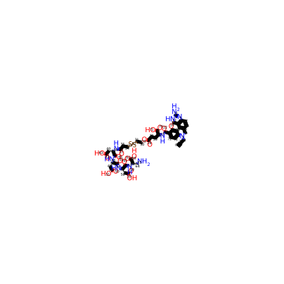 C#CCN(Cc1ccc2nc(N)[nH]c(=O)c2c1)c1ccc(C(=O)NC(CCC(=O)OCCSSCCC(=O)N[C@@H](CC(=O)O)C(=O)N[C@@H](CC(=O)O)C(=O)N[C@@H](CC(=O)O)C(=O)N[C@@H](CN)C(=O)O)C(=O)O)cc1